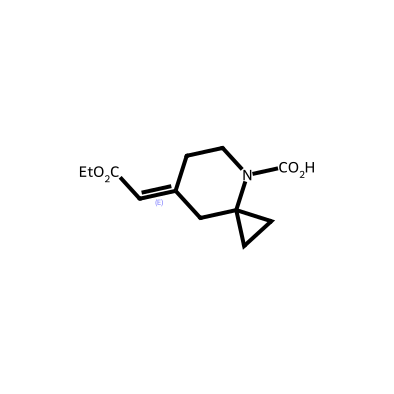 CCOC(=O)/C=C1\CCN(C(=O)O)C2(CC2)C1